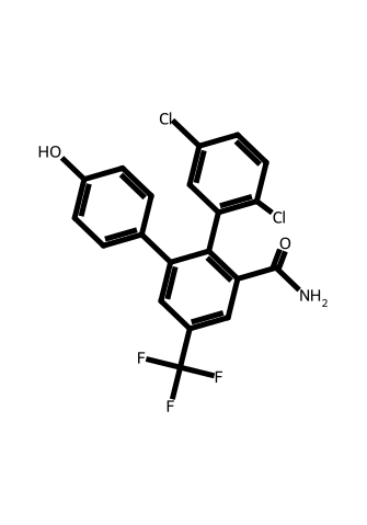 NC(=O)c1cc(C(F)(F)F)cc(-c2ccc(O)cc2)c1-c1cc(Cl)ccc1Cl